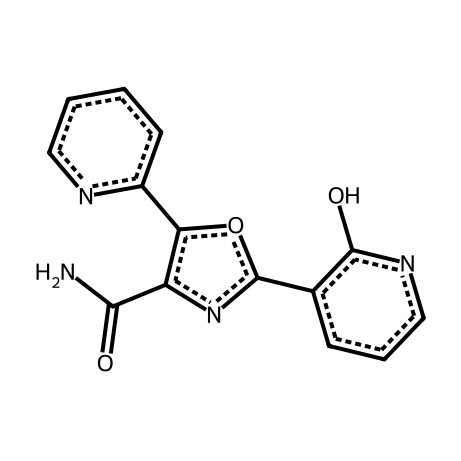 NC(=O)c1nc(-c2cccnc2O)oc1-c1ccccn1